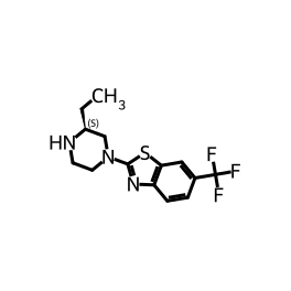 CC[C@H]1CN(c2nc3ccc(C(F)(F)F)cc3s2)CCN1